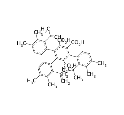 C=C(C)c1c(-c2c(C(=O)O)c(C(=O)O)c(-c3ccc(C)c(C)c3C(=C)C)c(-c3ccc(C)c(C)c3C(=C)C)c2C(=O)O)ccc(C)c1C